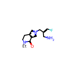 CCN1CCc2cn(CC(=CF)CN)cc2C1=O